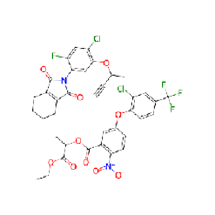 C#CC(C)Oc1cc(N2C(=O)C3=C(CCCC3)C2=O)c(F)cc1Cl.CCOC(=O)C(C)OC(=O)c1cc(Oc2ccc(C(F)(F)F)cc2Cl)ccc1[N+](=O)[O-]